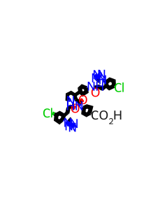 O=C(C=Cc1cc(Cl)ccc1-n1cnnn1)Nc1ccc(C2CCCN(C(=O)C=Cc3cc(Cl)ccc3-n3cnnn3)C2C(=O)Nc2ccc(C(=O)O)cc2)cc1